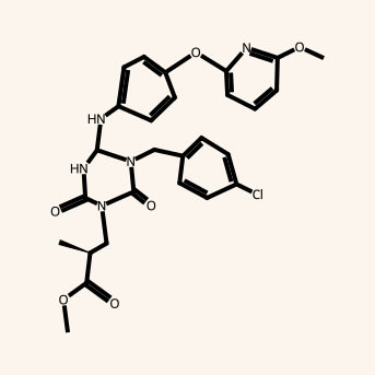 COC(=O)[C@@H](C)CN1C(=O)NC(Nc2ccc(Oc3cccc(OC)n3)cc2)N(Cc2ccc(Cl)cc2)C1=O